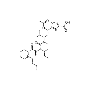 CCCCN1CCCC[C@@H]1C(=O)NC(C(=O)N(C)C(CC(OC(C)=O)c1nc(C(=O)O)cs1)C(C)C)C(C)CC